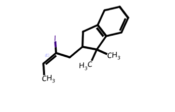 C/C=C(/I)CC1CC2=C(C=CCC2)C1(C)C